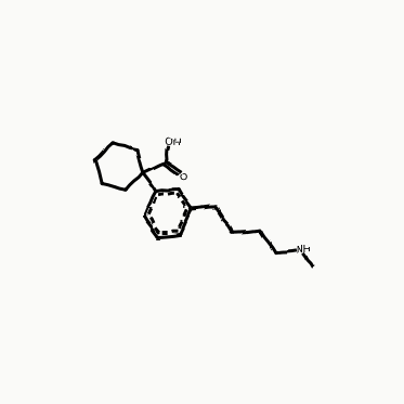 CNCCCCc1cccc(C2(C(=O)O)CCCCC2)c1